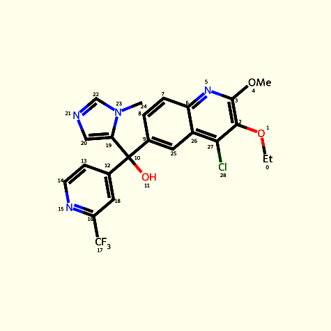 CCOc1c(OC)nc2ccc(C(O)(c3ccnc(C(F)(F)F)c3)c3cncn3C)cc2c1Cl